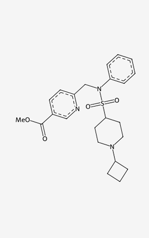 COC(=O)c1ccc(CN(c2ccccc2)S(=O)(=O)C2CCN(C3CCC3)CC2)nc1